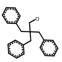 ClCC(Cc1ccccc1)(Cc1ccccc1)Cc1ccccc1